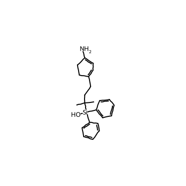 CC(C)(CCC1=CC=C(N)CC1)[Si](O)(c1ccccc1)c1ccccc1